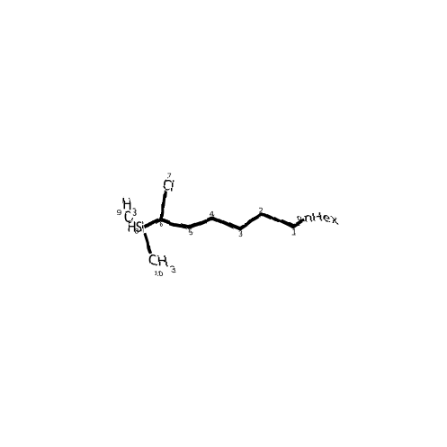 CCCCCCCCCCCC(Cl)[SiH](C)C